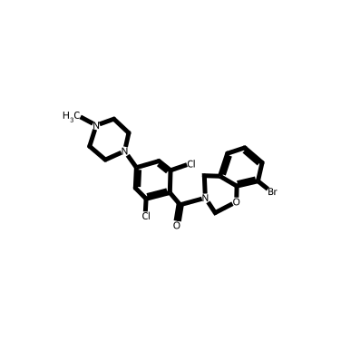 CN1CCN(c2cc(Cl)c(C(=O)N3COc4c(Br)cccc4C3)c(Cl)c2)CC1